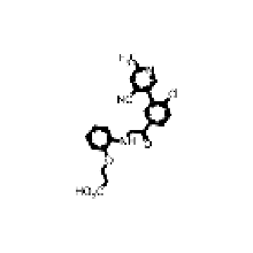 N#Cc1cc(C(F)(F)F)ncc1-c1cc(C(=O)CNc2ccccc2OCCC(=O)O)ccc1Cl